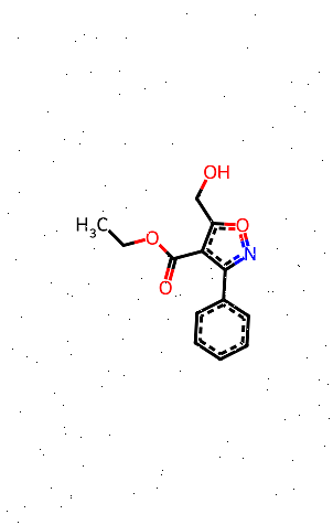 CCOC(=O)c1c(-c2ccccc2)noc1CO